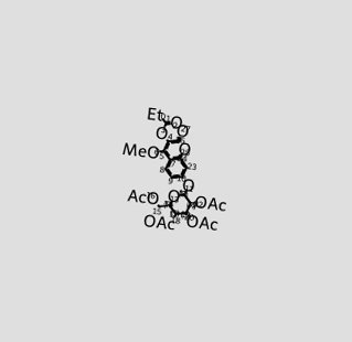 CCC(=O)Oc1c(OC)c2ccc(O[C@@H]3O[C@H](COC(C)=O)[C@H](OC(C)=O)[C@H](OC(C)=O)[C@H]3OC(C)=O)cc2oc1=O